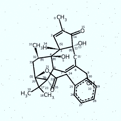 CC1=C[C@H]2[C@]3(O)C(C=C(CO)C[C@]2(O)C1=O)[C@H]1C(C)(C)[C@]1(OC(=O)Cc1ccccc1)C[C@H]3C